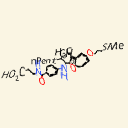 CCCCCC(C)C(Nc1ccc(C(=O)NCCC(=O)O)cc1)c1oc2ccc(OCCCSC)cc2c1C